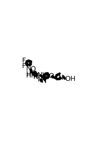 O=C(Cc1cc(Nc2ncnc3cc(OCC4CCN(CCO)CC4)ccc23)n[nH]1)Nc1cccc(F)c1F